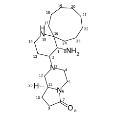 NC1C(N2CCN3C(=O)CC[C@H]3C2)CCNC12CCCCCCCC2